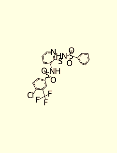 O=S(=O)(NSc1ncccc1NS(=O)(=O)c1ccc(Cl)c(C(F)(F)F)c1)c1ccccc1